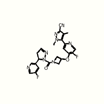 Cc1c(C#N)nn(C)c1-c1cc(OC2CN(C(=O)N3N=CCC3c3cncc(F)c3)C2)c(F)cn1